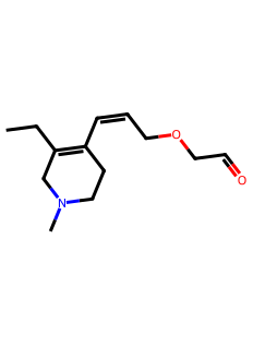 CCC1=C(/C=C\COCC=O)CCN(C)C1